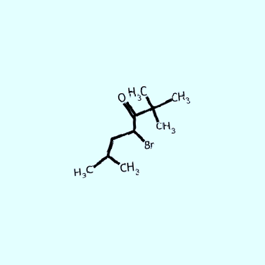 CC(C)CC(Br)C(=O)C(C)(C)C